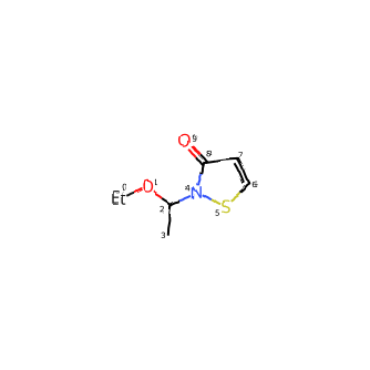 CCOC(C)n1sccc1=O